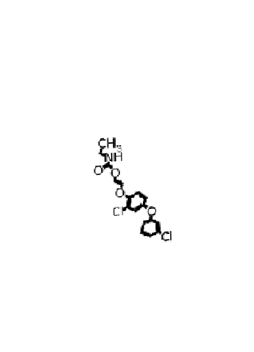 CCNC(=O)OC=COc1ccc(Oc2cccc(Cl)c2)cc1Cl